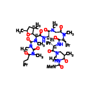 CC[C@H](NC(=O)[C@H](C1OC(C)C[C@H]1C)N(C)C(=O)N(C)C(=O)N(C)C(=O)CCC(C)C)C(=O)N(C)CC(=O)N(C)[C@@H](CC(C)C)C(=O)N[C@H](C(=O)N(C)CC(C)C(=O)NC(=O)NC)C(C)C